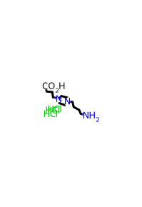 Cl.Cl.Cl.NCCCCN1CCN(CCCC(=O)O)CC1